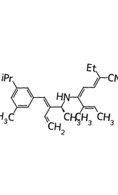 C=C/C(=C\c1cc(C)cc(C(C)C)c1)[C@H](C)NC(=C/C=C(/C#N)CC)/C(C)=C/C